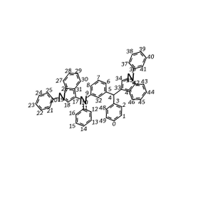 c1ccc(C(c2cccc(N(c3ccccc3)c3cn(-c4ccccc4)c4ccccc34)c2)c2cn(-c3ccccc3)c3ccccc23)cc1